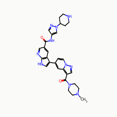 CN1CCN(C(=O)c2cnn3ccc(-c4c[nH]c5ncc(C(=O)Nc6cnn(C7CCNCC7)c6)cc45)cc23)CC1